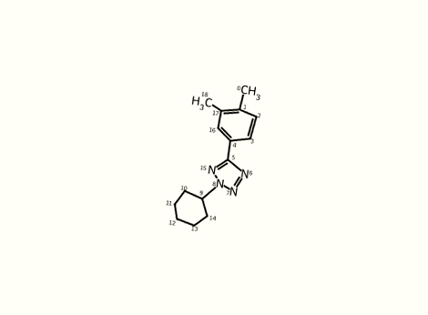 Cc1ccc(-c2nnn(C3CCCCC3)n2)cc1C